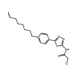 CCCCCCCCc1ccc(-c2nnc(NC(=O)CCl)s2)cc1